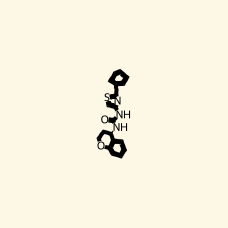 O=C(Nc1csc(-c2ccccc2)n1)N[C@H]1CCOc2ccccc21